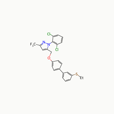 CCSc1cccc(-c2ccc(OCc3cc(C(F)(F)F)nn3-c3c(Cl)cccc3Cl)cc2)c1